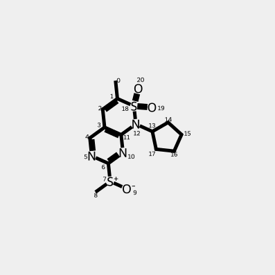 CC1=Cc2cnc([S+](C)[O-])nc2N(C2CCCC2)S1(=O)=O